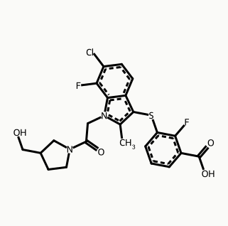 Cc1c(Sc2cccc(C(=O)O)c2F)c2ccc(Cl)c(F)c2n1CC(=O)N1CCC(CO)C1